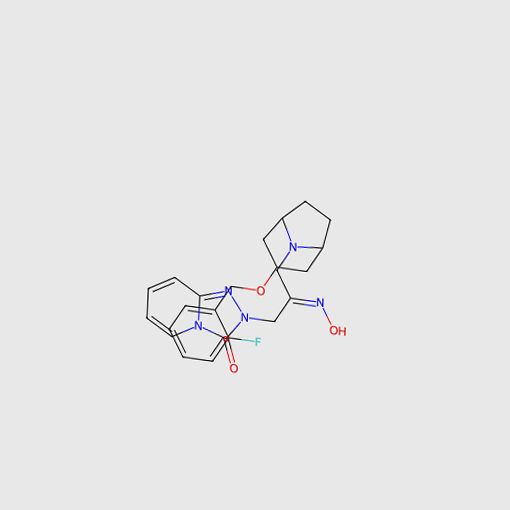 O=c1n(C/C(CN2C3CCC2CC(OCc2ccccc2F)C3)=N\O)nc2ccccn12